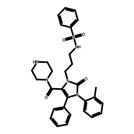 Cc1ccccc1-n1c(-c2ccccc2)c(C(=O)N2CCNCC2)n(CCCNS(=O)(=O)c2ccccc2)c1=O